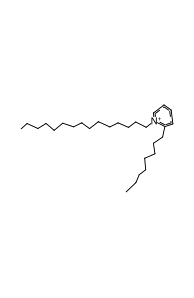 CCCCCCCCCCCCCCC[n+]1ccccc1CCCCCCCC